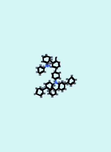 Cc1ccc(-c2ccc(N(c3ccc(-c4ccccc4)cc3)c3cc(-c4ccccc4)ccc3-c3ccccc3)cc2)cc1-c1ccccc1Nc1ccccc1